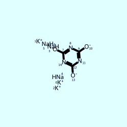 [K+].[K+].[K+].[NaH].[NaH].[NaH].[O-]c1nc([O-])nc([O-])n1